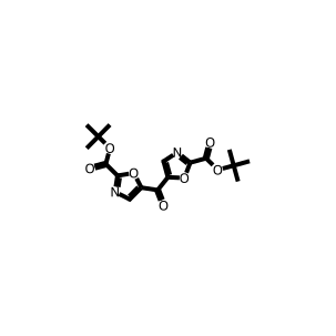 CC(C)(C)OC(=O)c1ncc(C(=O)c2cnc(C(=O)OC(C)(C)C)o2)o1